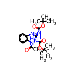 CC(=O)Nc1ccccc1NC(=NC(=O)OC(C)(C)C)NC(=O)OC(C)(C)C